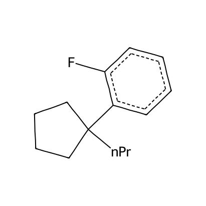 CCCC1(c2ccccc2F)CCCC1